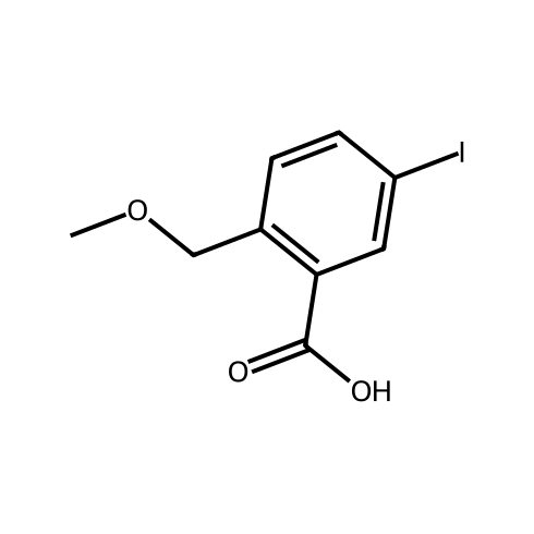 COCc1ccc(I)cc1C(=O)O